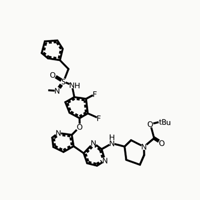 CN=S(=O)(Cc1ccccc1)Nc1ccc(Oc2ncccc2-c2ccnc(NC3CCCN(C(=O)OC(C)(C)C)C3)n2)c(F)c1F